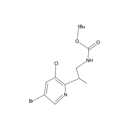 CC(CNC(=O)OC(C)(C)C)c1ncc(Br)cc1Cl